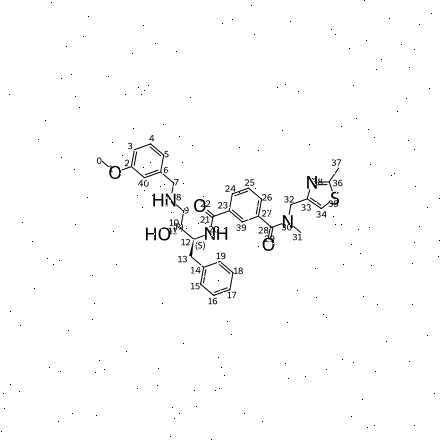 COc1cccc(CNC[C@@H](O)[C@H](Cc2ccccc2)NC(=O)c2cccc(C(=O)N(C)Cc3csc(C)n3)c2)c1